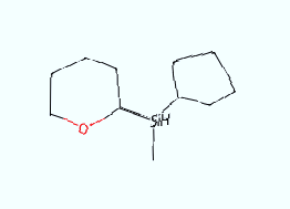 C[SiH](C1CCCC1)C1CCCCO1